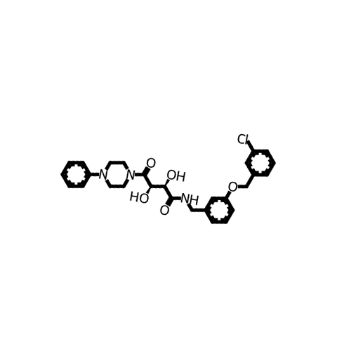 O=C(NCc1cccc(OCc2cccc(Cl)c2)c1)[C@H](O)[C@@H](O)C(=O)N1CCN(c2ccccc2)CC1